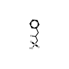 O=S(=O)(O)CC(F)Cc1ccccc1